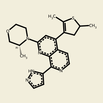 CC1=C(c2cc(N3CCOC[C@H]3C)nc3c(-c4ccn[nH]4)nccc23)CC(C)S1